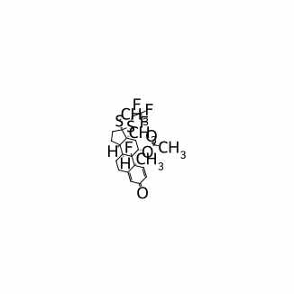 CS[C@]1(SCC(F)(F)F)CC[C@H]2[C@@H]3CCC4=CC(=O)C=C[C@]4(C)C3(F)[C@@H](OC(C)=O)C[C@@]21C